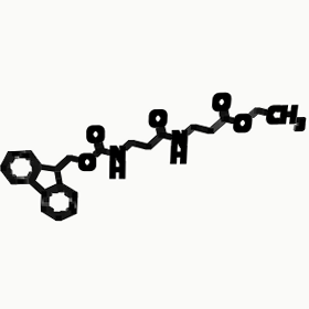 CCOC(=O)CCNC(=O)CCNC(=O)OCC1c2ccccc2-c2ccccc21